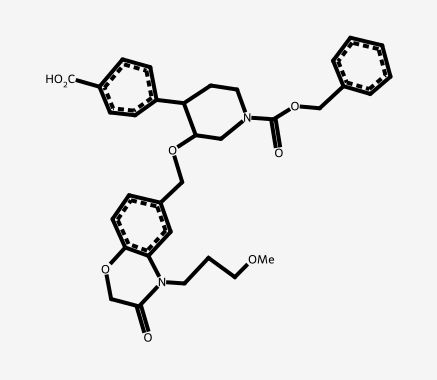 COCCCN1C(=O)COc2ccc(COC3CN(C(=O)OCc4ccccc4)CCC3c3ccc(C(=O)O)cc3)cc21